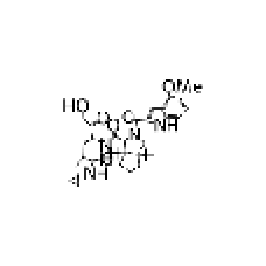 COc1cccc2[nH]c(C(=O)N3C[C@@H]4CCC[C@@H]4[C@H]3C(=O)N[C@@H](C[C@@H]3CC4(CC4)NC3=O)C(=O)CO)cc12